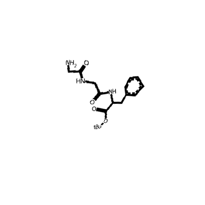 CC(C)(C)OC(=O)C(Cc1ccccc1)NC(=O)CNC(=O)CN